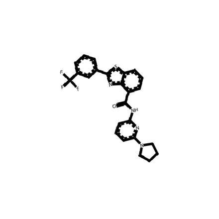 O=C(Nc1cccc(N2CCCC2)n1)c1cccc2sc(-c3cccc(C(F)(F)F)c3)nc12